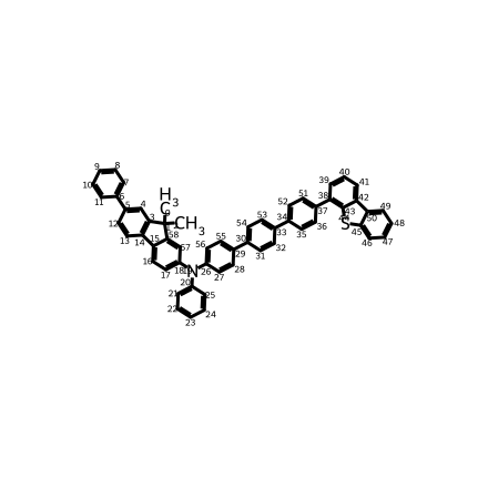 CC1(C)c2cc(-c3ccccc3)ccc2-c2ccc(N(c3ccccc3)c3ccc(-c4ccc(-c5ccc(-c6cccc7c6sc6ccccc67)cc5)cc4)cc3)cc21